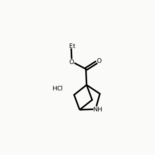 CCOC(=O)C12CNC(C1)C2.Cl